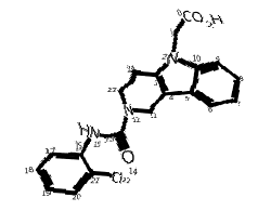 O=C(O)Cn1c2c(c3ccccc31)CN(C(=O)Nc1ccccc1Cl)CC2